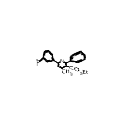 CCOC(=O)c1c(C)cc(-c2cccc(F)c2)nc1-c1ccccc1